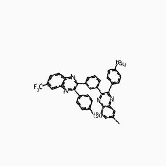 Cc1ccc2nc(-c3cccc(-c4nc5ccc(C(F)(F)F)cc5nc4-c4ccc(C(C)(C)C)cc4)c3)c(-c3ccc(C(C)(C)C)cc3)nc2c1